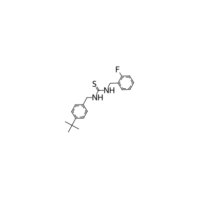 CC(C)(C)c1ccc(CNC(=S)NCc2ccccc2F)cc1